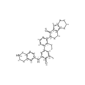 CCc1c(-c2cc(Nc3ccc4c(n3)CCNC4)c(=O)n(C)c2)cccc1N1CCc2c(sc3c2CCCC3)C1=O